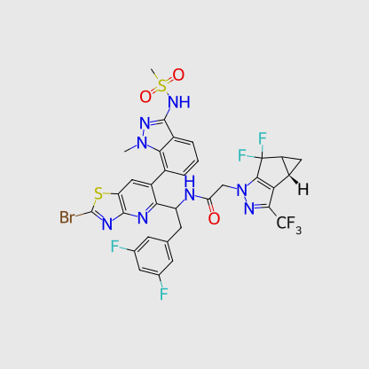 Cn1nc(NS(C)(=O)=O)c2cccc(-c3cc4sc(Br)nc4nc3C(Cc3cc(F)cc(F)c3)NC(=O)Cn3nc(C(F)(F)F)c4c3C(F)(F)C3C[C@H]43)c21